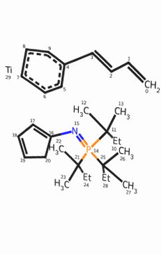 C=CC=Cc1ccccc1.CCC(C)(C)P(=NC1=CC=CC1)(C(C)(C)CC)C(C)(C)CC.[Ti]